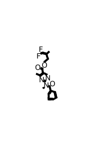 CC(CCOC(=O)c1cnc(N(C)C(=O)c2ccccc2)nc1C)=C(F)F